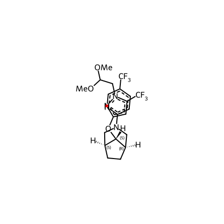 COC(Cn1nc(O[C@@H]2[C@@H]3CC[C@H]2CN(c2ccc(C(F)(F)F)cn2)C3)cc1C(F)(F)F)OC